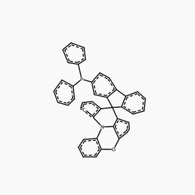 c1ccc(P(c2ccccc2)c2ccc3c(c2)C2(c4ccccc4-3)c3ccccc3N3c4ccccc4Oc4cccc2c43)cc1